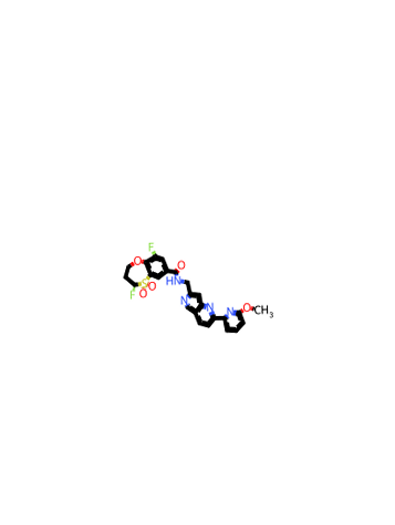 COc1cccc(-c2ccc3cnc(CNC(=O)c4cc(F)c5c(c4)S(=O)(=O)[C@@H](F)CCO5)cc3n2)n1